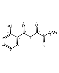 COC(=O)C(=O)CC(=O)c1ccccc1Cl